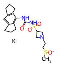 C[S+]([O-])CCN1CC(S(=O)(=O)NC(=O)Nc2c3c(cc4c2CCC4)CCC3)C1.[K]